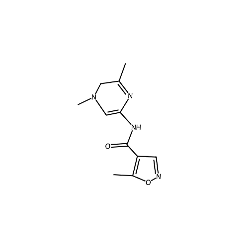 CC1=NC(NC(=O)c2cnoc2C)=CN(C)C1